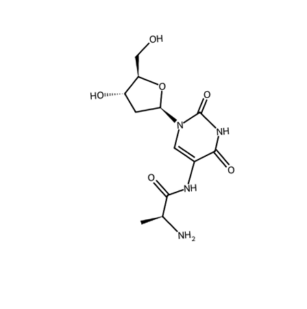 C[C@H](N)C(=O)Nc1cn([C@H]2C[C@H](O)[C@@H](CO)O2)c(=O)[nH]c1=O